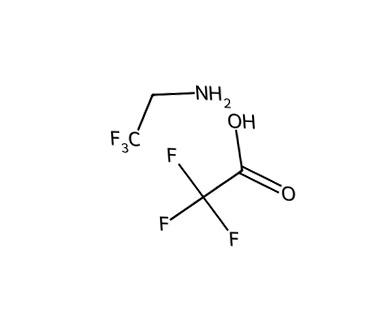 NCC(F)(F)F.O=C(O)C(F)(F)F